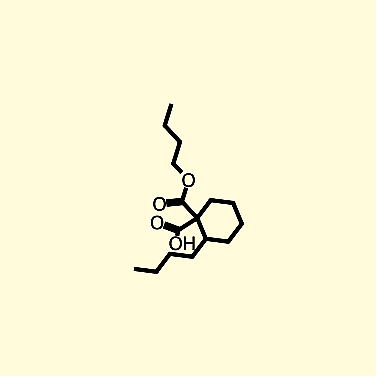 CCCCOC(=O)C1(C(=O)O)CCCCC1CCCC